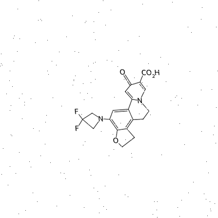 O=C(O)c1cn2c(cc1=O)-c1cc(N3CC(F)(F)C3)c3c(c1CC2)CCO3